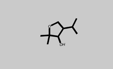 CC(C)C1COC(C)(C)C1O